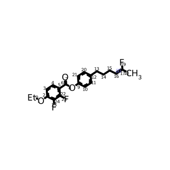 CCOc1ccc(C(=O)Oc2ccc(CCC/C=C(/C)F)cc2)c(F)c1F